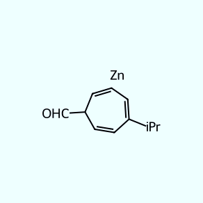 CC(C)C1=CC=CC(C=O)C=C1.[Zn]